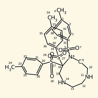 Cc1ccc(S(=O)(=O)N2CCNCCNCC2(S(=O)(=O)c2ccc(C)cc2)S(=O)(=O)c2ccc(C)cc2)cc1